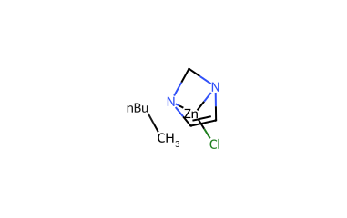 CC[CH]CC.[Cl][Zn]1[N]2C=C[N]1C2